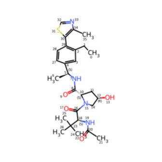 CCc1cc([C@H](C)NC(=O)[C@@H]2C[C@@H](O)CN2C(=O)[C@@H](NC(C)=O)C(C)(C)C)ccc1-c1scnc1C